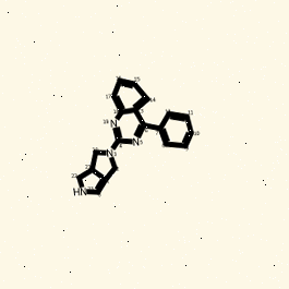 C1=C2CN(c3nc(-c4ccccc4)c4ccccc4n3)CC2CN1